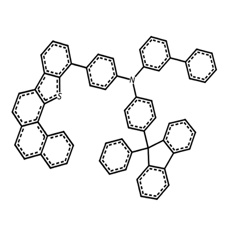 c1ccc(-c2cccc(N(c3ccc(-c4cccc5c4sc4c5ccc5ccc6ccccc6c54)cc3)c3ccc(C4(c5ccccc5)c5ccccc5-c5ccccc54)cc3)c2)cc1